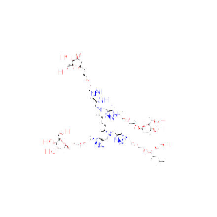 CC(C)CCC(OCCO)OCCOCCn1cc(CN(Cc2cn(CCOCCOC3CC(O)C(O)C(CO)O3)nn2)C(C)CCCCN(C/C(N)=C/N(N)CCOCCCC2CC(O)C(O)C(CO)O2)Cc2cn(CCOCCOC3CCC(O)C(CO)O3)nn2)nn1